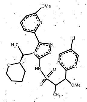 COc1cccc(-c2nnc(NS(=O)(=O)C(C)C(OC)c3ncc(Cl)cn3)n2C(C)[C@H]2CCCCO2)n1